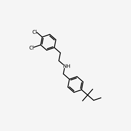 CCC(C)(C)c1ccc(CNCCc2ccc(Cl)c(Cl)c2)cc1